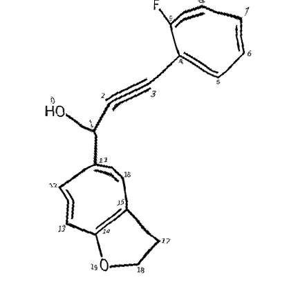 OC(C#Cc1ccccc1F)c1ccc2c(c1)CCO2